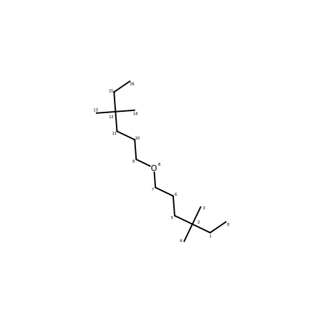 CCC(C)(C)CCCOCCCC(C)(C)CC